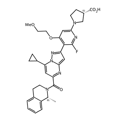 COCCOc1cc(N2CC[C@H](C(=O)O)C2)nc(F)c1-c1cc2nc(C(=O)N3CCc4ccccc4[C@H]3C)cc(C3CC3)n2n1